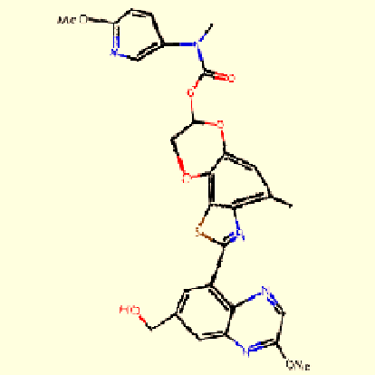 COc1ccc(N(C)C(=O)OC2COc3c(cc(C)c4nc(-c5cc(CO)cc6nc(OC)cnc56)sc34)O2)cn1